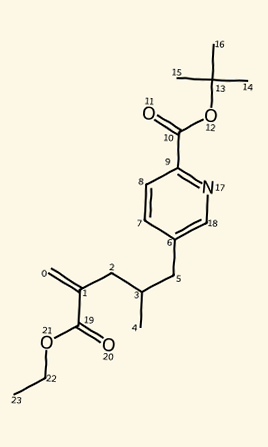 C=C(CC(C)Cc1ccc(C(=O)OC(C)(C)C)nc1)C(=O)OCC